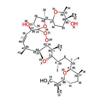 CC[C@@H](C(=O)[C@@H](C)C[C@H](C)[C@@H]1O[C@@H]([C@@H](CC)C(=O)O)CC[C@@H]1C)[C@H]1OO[C@@]2(CC[C@@](C)(C3CC[C@](O)(CC)[C@H](C)O3)O2)[C@H](O)/C=C\[C@H](C)C[C@@H]1C